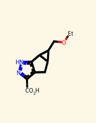 CCOCC1C2Cc3c(C(=O)O)n[nH]c3C12